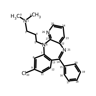 CN(C)CCCN1c2cc(Cl)ccc2C(c2ccccc2)=Nc2cccnc21